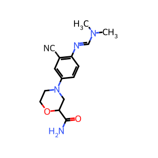 CN(C)C=Nc1ccc(N2CCOC(C(N)=O)C2)cc1C#N